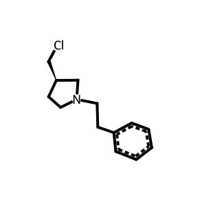 ClC[C@@H]1CCN(CCc2ccccc2)C1